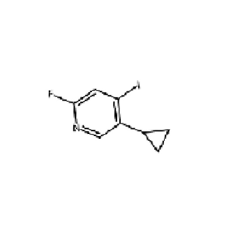 Fc1cc(I)c(C2CC2)cn1